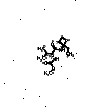 CCC1(NC(=O)[C@@H](NC(=O)OC)C(C)C)CCC1